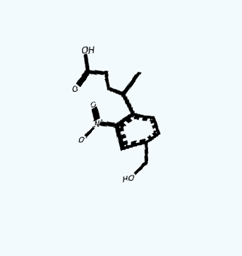 CC(CCC(=O)O)c1ccc(CO)cc1[N+](=O)[O-]